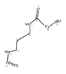 CCCCCNCCCNC(=O)OC(C)(C)C